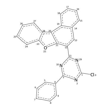 Clc1nc(-c2ccccc2)nc(-c2cc3ccccc3c3c2oc2ccccc23)n1